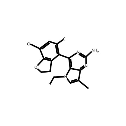 CCn1cc(C)c2nc(N)nc(-c3c(Cl)cc(Cl)c4c3CCO4)c21